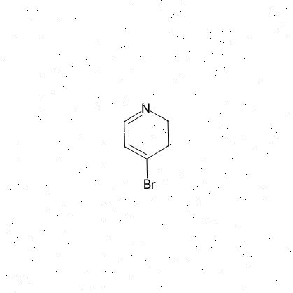 BrC1=CC=NCC1